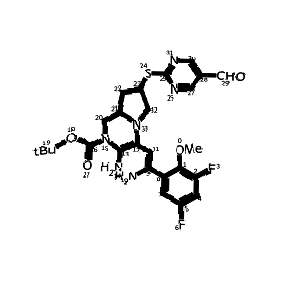 COc1c(F)cc(F)cc1/C(N)=C/C1=C(N)N(C(=O)OC(C)(C)C)CC2CC(Sc3ncc(C=O)cn3)CN12